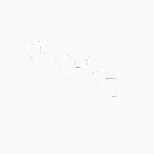 c1ccc(COc2ccc3c(CCC4CCNCC4)c[nH]c3c2)cc1